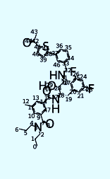 CCCN(CCC)C(=O)c1cc(C)cc(C(=O)N[C@@H](Cc2cc(F)cc(F)c2)[C@H](O)CNCc2cccc(-c3ccc(C(C)=O)s3)c2)c1